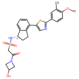 CC(C)Oc1ccc(-c2ncc(-c3cccc4c3CC[C@@H]4NS(=O)(=O)CC(=O)N3CC(O)C3)s2)cc1C#N